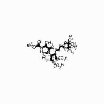 CC(NC(=O)OC(C)(C)C)C(=O)N(C)[C@H]1CN(C(=O)O)[C@H](C(=O)O)[C@@H]1CCCB1OC(C)(C)C(C)(C)O1